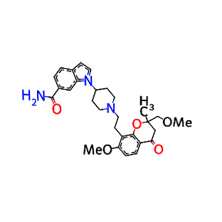 COCC1(C)CC(=O)c2ccc(OC)c(CCN3CCC(n4ccc5ccc(C(N)=O)cc54)CC3)c2O1